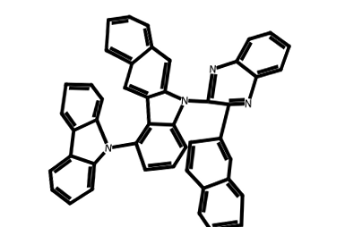 c1ccc2cc(-c3nc4ccccc4nc3-n3c4cc5ccccc5cc4c4c(-n5c6ccccc6c6ccccc65)cccc43)ccc2c1